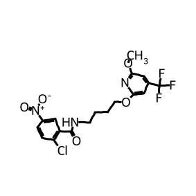 COc1cc(C(F)(F)F)cc(OCCCCNC(=O)c2cc([N+](=O)[O-])ccc2Cl)n1